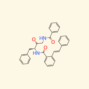 O=C(NCC(=O)[C@H](Cc1ccccc1)NC(=O)c1ccccc1C=Cc1ccccc1)c1ccccc1